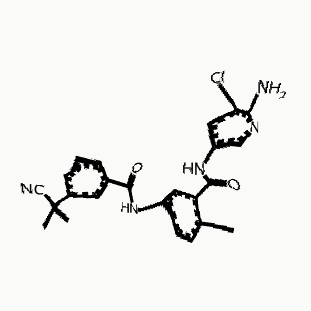 Cc1ccc(NC(=O)c2cccc(C(C)(C)C#N)c2)cc1C(=O)Nc1cnc(N)c(Cl)c1